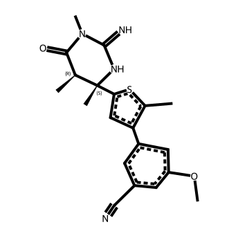 COc1cc(C#N)cc(-c2cc([C@@]3(C)NC(=N)N(C)C(=O)[C@@H]3C)sc2C)c1